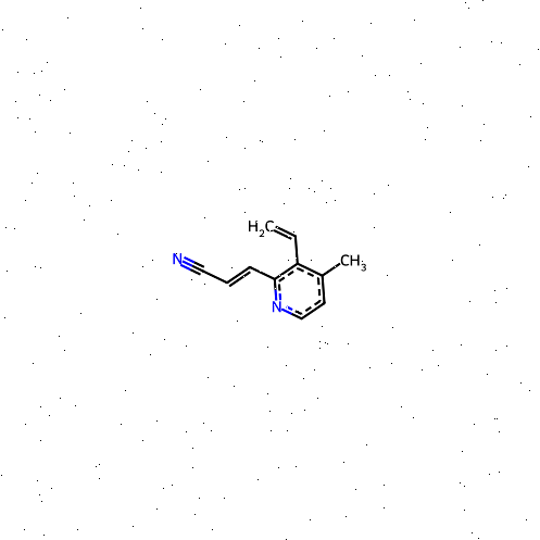 C=Cc1c(C)ccnc1C=CC#N